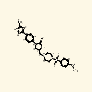 COc1ccc(S(=O)(=O)N2CCN(CC3CN(c4ccc(-c5noc(C)n5)cc4)C(=O)O3)CC2)cc1